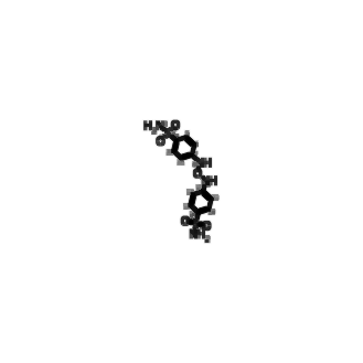 NS(=O)(=O)c1ccc(NONc2ccc(S(N)(=O)=O)cc2)cc1